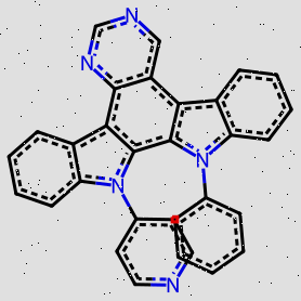 c1ccc(-n2c3ccccc3c3c4cncnc4c4c5ccccc5n(-c5ccncc5)c4c32)cc1